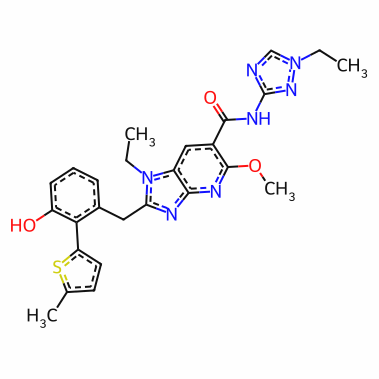 CCn1cnc(NC(=O)c2cc3c(nc2OC)nc(Cc2cccc(O)c2-c2ccc(C)s2)n3CC)n1